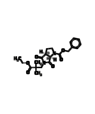 CCOC(=O)C(C)(C)CN1C(=O)[C@H]2CCN(C(=O)OCc3ccccc3)[C@H]2C1=O